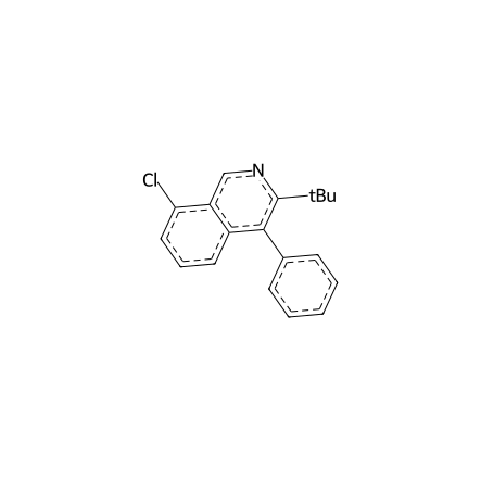 CC(C)(C)c1ncc2c(Cl)cccc2c1-c1ccccc1